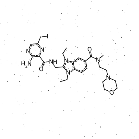 CCn1c(CNC(=O)c2nc(CI)cnc2N)[n+](CC)c2ccc(C(=O)N(C)CCN3CCOCC3)cc21